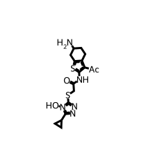 CC(=O)c1c(NC(=O)CSc2nnc(C3CC3)n2O)sc2c1CCC(N)C2